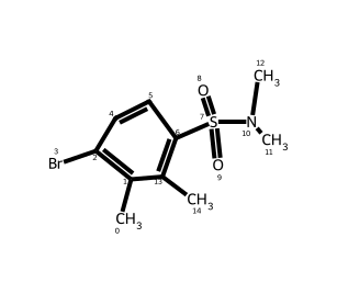 Cc1c(Br)ccc(S(=O)(=O)N(C)C)c1C